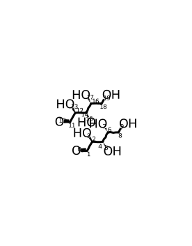 O=C[C@@H](O)[C@@H](O)[C@H](O)CO.O=C[C@@H](O)[C@@H](O)[C@H](O)CO